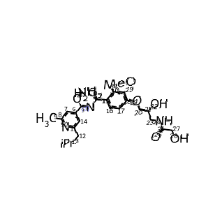 C=C(/N=C(\ON)c1cc(C)nc(CC(C)C)c1)c1ccc(OCC(O)CNC(=O)CO)cc1OC